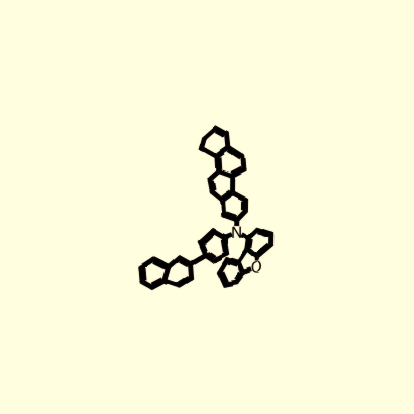 C1=Cc2ccc3c(ccc4cc(N(c5ccc(-c6ccc7ccccc7c6)cc5)c5cccc6oc7ccccc7c56)ccc43)c2CC1